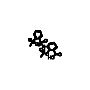 CC(=O)Oc1c(NS(=O)(=O)c2ccccc2S(C)(=O)=O)cccc1C(=O)O